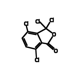 O=C1OC(Cl)(Cl)c2c(Cl)ccc(Cl)c21